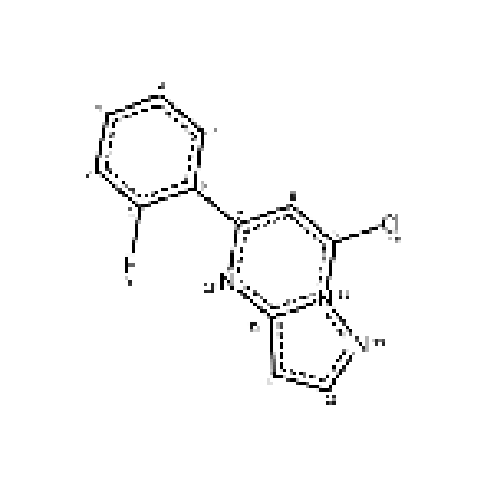 Fc1ccccc1-c1cc(Cl)n2nccc2n1